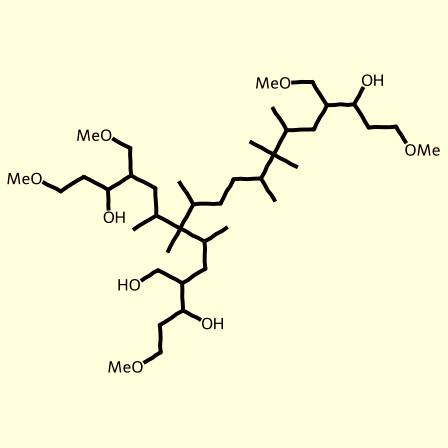 COCCC(O)C(COC)CC(C)C(C)(C)C(C)CCC(C)C(C)(C(C)CC(CO)C(O)CCOC)C(C)CC(COC)C(O)CCOC